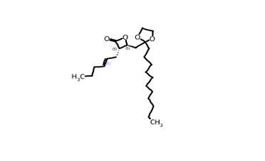 CCC/C=C/C[C@@H]1C(=O)O[C@H]1CC1(CCCCCCCCCCC)OCCO1